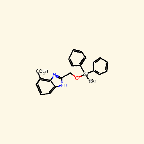 CC(C)(C)[Si](OCc1nc2c(C(=O)O)cccc2[nH]1)(c1ccccc1)c1ccccc1